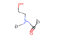 CCC(=O)N(CC)CCO